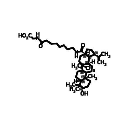 C=C(C)[C@@H]1CC[C@]2(C(=O)NCCCCCCCC(=O)NCC(=O)O)CC[C@]3(C)[C@H](CCC4[C@@]5(C)CC[C@H](O)C(C)(C)[C@@H]5CC[C@]43C)[C@@H]12